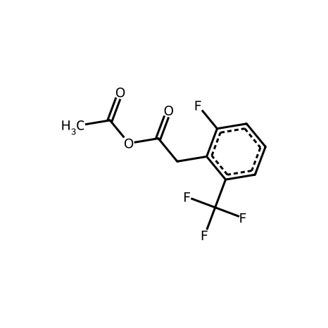 CC(=O)OC(=O)Cc1c(F)cccc1C(F)(F)F